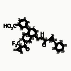 O=C(O)c1cccc(-c2ccc(CNC(=O)[C@H]3C[C@H]3c3ccccc3)c3c2CCN(C(=O)C2(C(F)(F)F)CC2)C3)c1